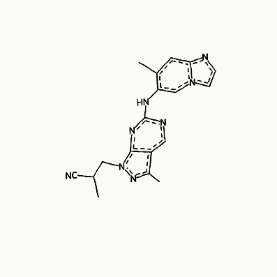 Cc1cc2nccn2cc1Nc1ncc2c(C)nn(CC(C)C#N)c2n1